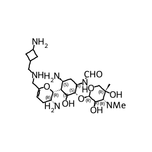 CN[C@@H]1[C@@H](O)[C@@H](O[C@H]2[C@H](NC=O)C[C@H](N)C([C@H]3OC(CNCC4CC(N)C4)=CC[C@H]3N)[C@@H]2O)OC[C@]1(C)O